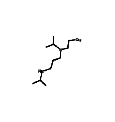 CC(C)NCCCN(CCO)C(C)C